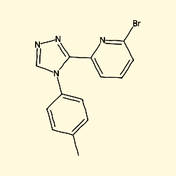 Cc1ccc(-n2cnnc2-c2cccc(Br)n2)cc1